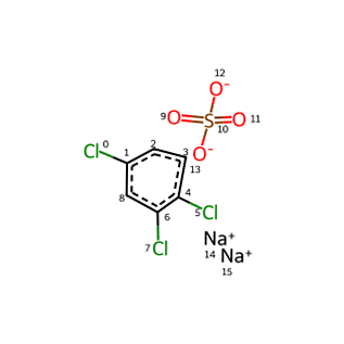 Clc1ccc(Cl)c(Cl)c1.O=S(=O)([O-])[O-].[Na+].[Na+]